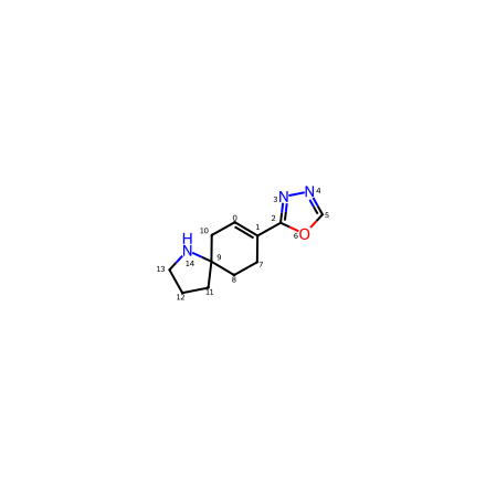 C1=C(c2nnco2)CCC2(C1)CCCN2